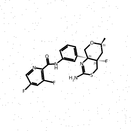 C[C@H]1C[C@@]2(F)CSC(N)=N[C@@]2(c2cccc(NC(=O)c3ncc(F)cc3F)c2)CO1